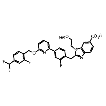 COCCn1c(Cc2ccc(-c3cccc(OCc4ccc(C(F)F)cc4F)n3)cc2F)nc2ccc(C(=O)O)cc21